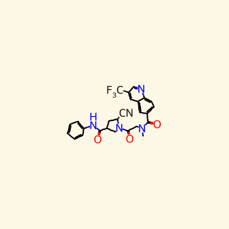 CN(CC(=O)N1CC(C(=O)Nc2ccccc2)CC1C#N)C(=O)c1ccc2ncc(C(F)(F)F)cc2c1